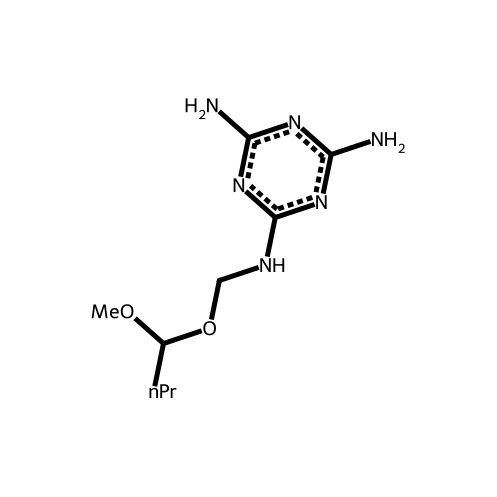 CCCC(OC)OCNc1nc(N)nc(N)n1